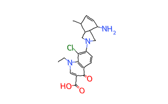 CCn1cc(C(=O)O)c(=O)c2ccc(N3CC4C(C)C=CC(N)C4C3)c(Cl)c21